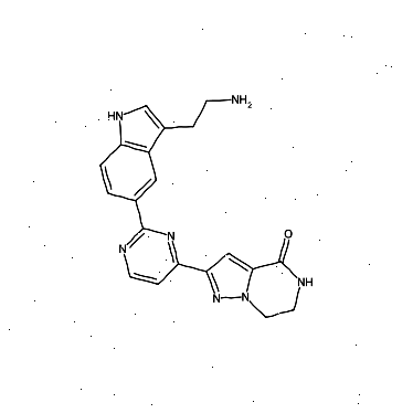 NCCc1c[nH]c2ccc(-c3nccc(-c4cc5n(n4)CCNC5=O)n3)cc12